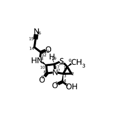 C[C@@]12C[C@]1(C(=O)O)N1C(=O)[C@@H](NC(=O)CC#N)[C@H]1S2